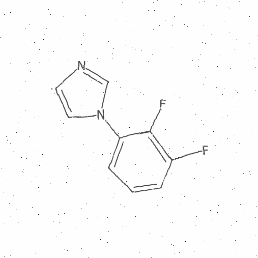 Fc1cccc(-n2c[c]nc2)c1F